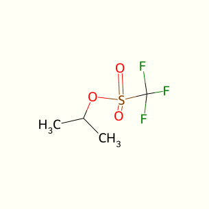 CC(C)OS(=O)(=O)C(F)(F)F